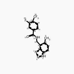 Cc1ccc2[nH]nnc2c1CNC(=O)c1ccc(C(F)(F)F)c(F)c1